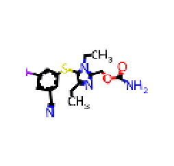 CCc1nc(COC(N)=O)n(CC)c1Sc1cc(I)cc(C#N)c1